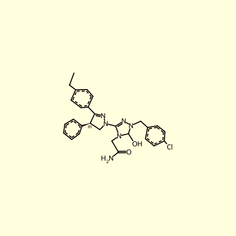 CCc1ccc(C2=NN(C3=NN(Cc4ccc(Cl)cc4)C(O)N3CC(N)=O)C[C@H]2c2ccccc2)cc1